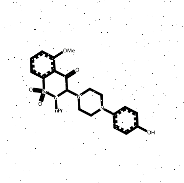 CCCN1C(N2CCN(c3ccc(O)cc3)CC2)C(=O)c2c(OC)cccc2S1(=O)=O